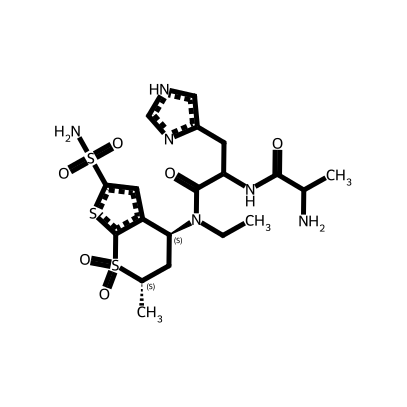 CCN(C(=O)C(Cc1c[nH]cn1)NC(=O)C(C)N)[C@H]1C[C@H](C)S(=O)(=O)c2sc(S(N)(=O)=O)cc21